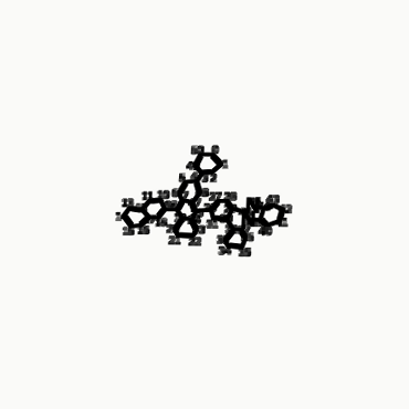 c1ccc(-c2ccc3c(-c4ccc5ccccc5c4)c4ccccc4c(-c4ccc5c(c4)c4ccccc4n4c6ccccc6nc54)c3c2)cc1